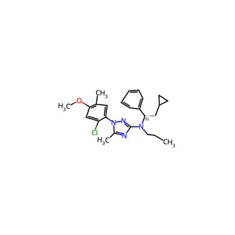 CCCN(c1nc(C)n(-c2cc(C)c(OC)cc2Cl)n1)[C@@H](CC1CC1)c1ccccc1